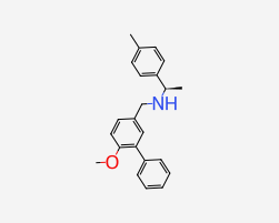 COc1ccc(CN[C@H](C)c2ccc(C)cc2)cc1-c1ccccc1